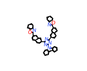 c1ccc2oc(-c3ccc4ccc(-c5nc(-c6ccc7ccc(-c8nc9ccccc9o8)cc7c6)nc(-n6c7ccccc7c7ccccc76)n5)cc4c3)nc2c1